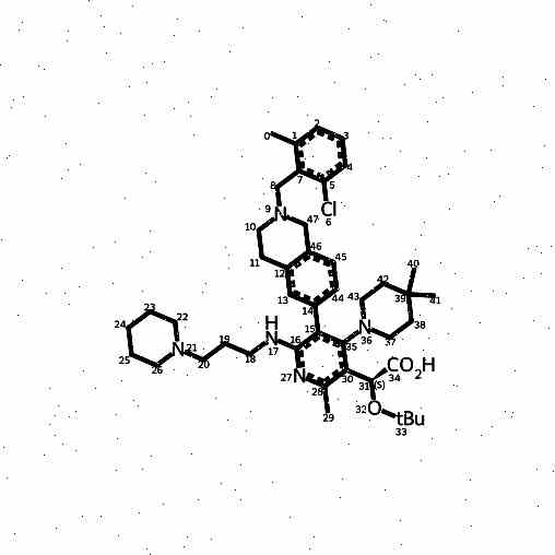 Cc1cccc(Cl)c1CN1CCc2cc(-c3c(NCCCN4CCCCC4)nc(C)c([C@H](OC(C)(C)C)C(=O)O)c3N3CCC(C)(C)CC3)ccc2C1